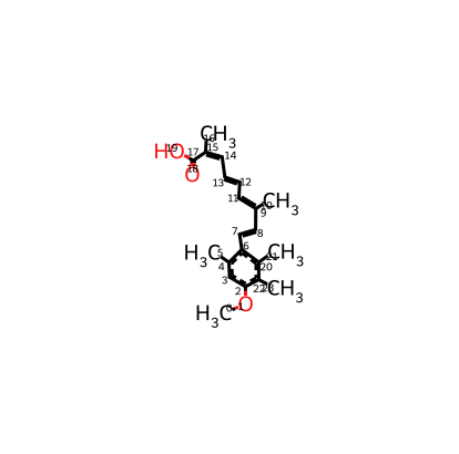 COc1cc(C)c(C=CC(C)=CC=CC=C(C)C(=O)O)c(C)c1C